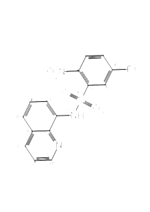 O=[N+]([O-])c1ccc(F)cc1S(=O)(=O)Nc1cccc2cccnc12